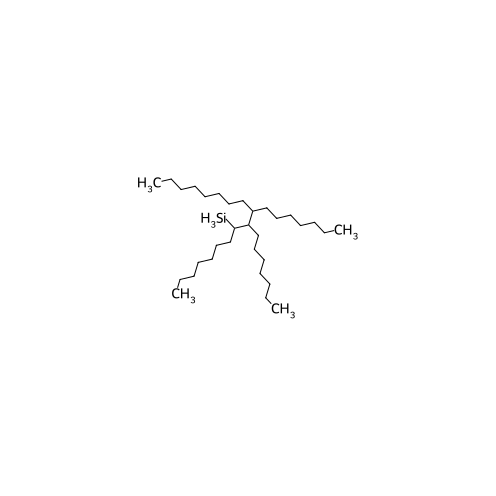 CCCCCCCCC(CCCCCCC)C(CCCCCCC)C([SiH3])CCCCCCC